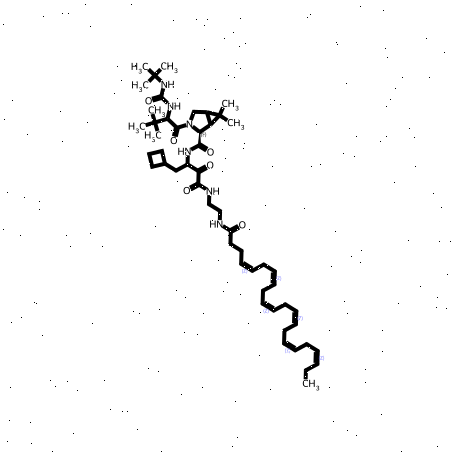 CC/C=C\C/C=C\C/C=C\C/C=C\C/C=C\C/C=C\CCC(=O)NCCNC(=O)C(=O)C(CC1CCC1)NC(=O)[C@@H]1C2C(CN1C(=O)C(NC(=O)NC(C)(C)C)C(C)(C)C)C2(C)C